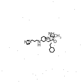 CN1C(=N)N[C@](CCC2CCCCC2)(C[C@@H]2CCC[C@@H](NCCCn3ccnc3)C2)C1=O